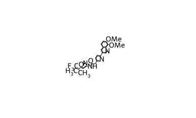 COc1ccc2cc(-c3ccc(CC(=O)Nc4cc(C(C)(C)C(F)(F)F)on4)cn3)cnc2c1OC